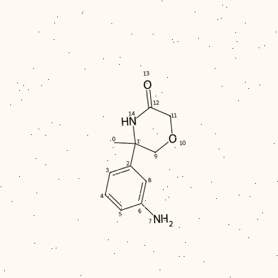 CC1(c2cccc(N)c2)COCC(=O)N1